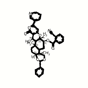 C[C@]12CC[C@@H]3OC(c4ccccc4)OC[C@@]3(C)C1C[C@H](OC(=O)c1ccccc1C#N)[C@@]1(C)Oc3cc(-c4cccnc4)oc(=O)c3[C@H](O)C21